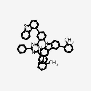 Cc1ccccc1-c1ccc2c(c1)c1cc(-c3ccccc3C)ccc1n2-c1ccc(-c2cccc3sc4ccccc4c23)cc1-c1nc(-c2ccccc2)nc(-c2ccccc2)n1